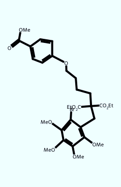 CCOC(=O)C(CCCCOc1ccc(C(=O)OC)cc1)(Cc1c(Br)c(OC)c(OC)c(OC)c1OC)C(=O)OCC